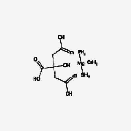 O=C(O)CC(O)(CC(=O)O)C(=O)O.[CaH2].[SiH3][Mg][PH2]